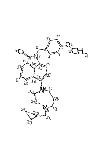 COc1ccc(CN2C(=O)c3cccc4c(N5CCCN(CC6CC6)CC5)ccc2c34)cc1